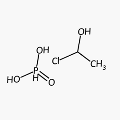 CC(O)Cl.O=[PH](O)O